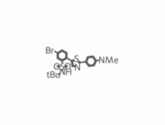 CNc1ccc(-c2ncc(-c3ccc(Br)cc3S(=O)(=O)NC(C)(C)C)s2)cc1